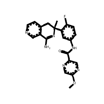 COc1cnc(C(=O)Nc2ccc(F)c(C3(C)Cc4ccncc4C(N)=N3)c2)cn1